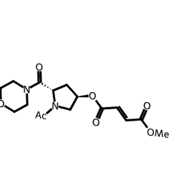 COC(=O)/C=C/C(=O)O[C@@H]1C[C@@H](C(=O)N2CCOCC2)N(C(C)=O)C1